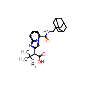 CC(C)(C)C(C(=O)O)c1cn2c(C(=O)NCC34CC5CC(CC(C5)C3)C4)cccc2n1